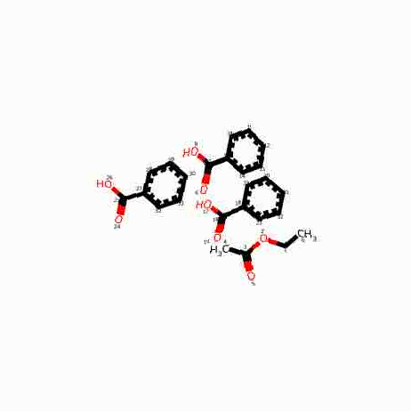 CCOC(C)=O.O=C(O)c1ccccc1.O=C(O)c1ccccc1.O=C(O)c1ccccc1